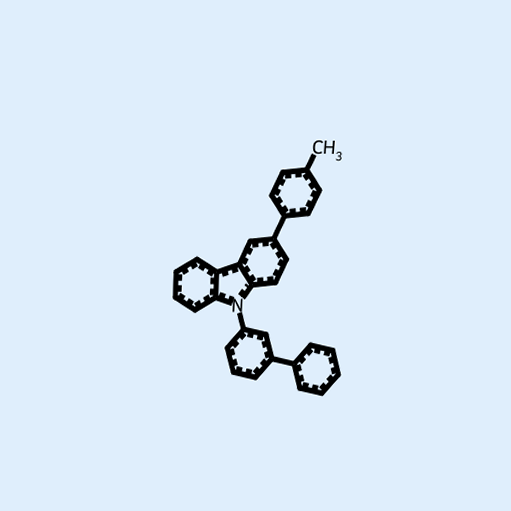 Cc1ccc(-c2ccc3c(c2)c2ccccc2n3-c2cccc(-c3ccccc3)c2)cc1